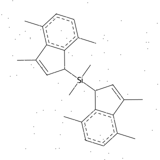 CC1=CC([Si](C)(C)C2C=C(C)c3c(C)ccc(C)c32)c2c(C)ccc(C)c21